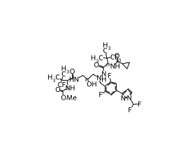 COC(=O)NC(C(=O)NC[C@@H](O)CN(Cc1c(F)cc(-c2ccn(C(F)F)n2)cc1F)NC(=O)[C@@H](NC(=O)C1CC1)C(C)(C)C(F)(F)F)C(C)(C)C(F)(F)F